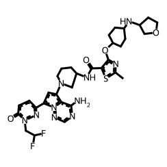 Cc1nc(OC2CCC(NC3CCOC3)CC2)c(C(=O)NC2CCCN(c3cc(-c4ccc(=O)n(CC(F)F)n4)n4ncnc(N)c34)C2)s1